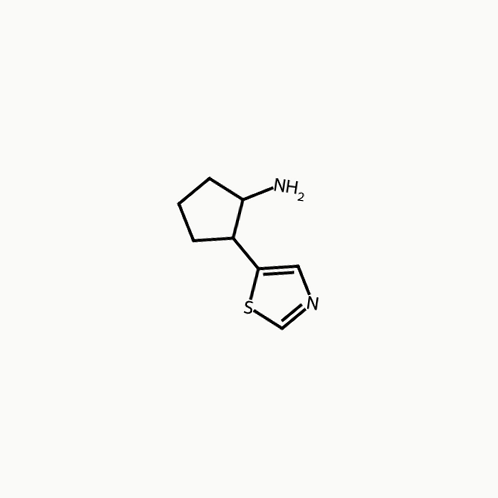 NC1CCCC1c1cncs1